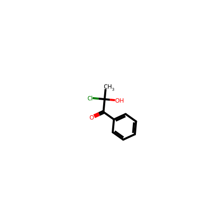 CC(O)(Cl)C(=O)c1ccccc1